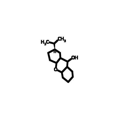 CC(C)[C@H]1CCC2OC3CCCCC3C(O)C2C1